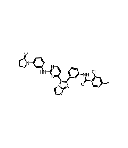 O=C(Nc1cccc(-c2nc3sccn3c2-c2ccnc(Nc3cccc(N4CCCC4=O)c3)n2)c1)c1ccc(F)cc1Cl